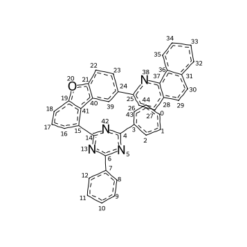 c1ccc(-c2nc(-c3ccccc3)nc(-c3cccc4oc5ccc(-c6ccc7ccc8ccccc8c7n6)cc5c34)n2)cc1